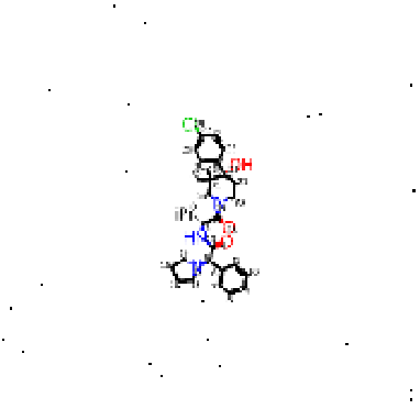 CC(C)[C@@H](NC(=O)C(c1ccccc1)N1CCCC1)C(=O)N1CC[C@](O)(c2ccc(Cl)cc2)C(C)(C)C1